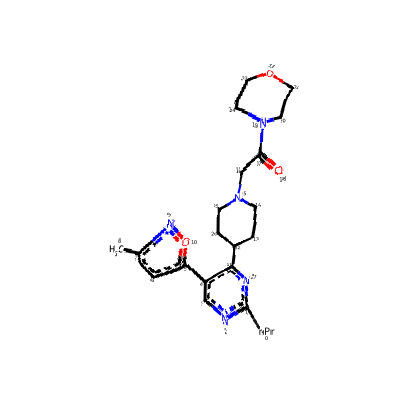 CCCc1ncc(-c2cc(C)no2)c(C2CCN(CC(=O)N3CCOCC3)CC2)n1